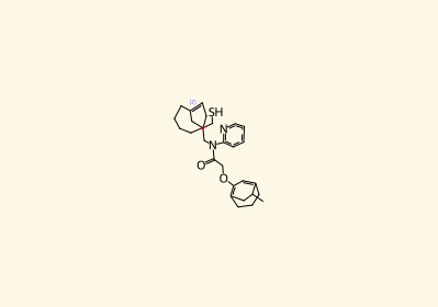 CC1CC2=C(OCC(=O)N(CC(CS)C/C3=C\CCCCCC3)c3ccccn3)C=C1CCC2